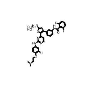 CN(C)CCOc1ccc(Nc2nccc(-c3sc(N)nc3-c3cccc(NC(=O)c4c(F)cccc4F)c3)n2)cc1Cl.O=CO